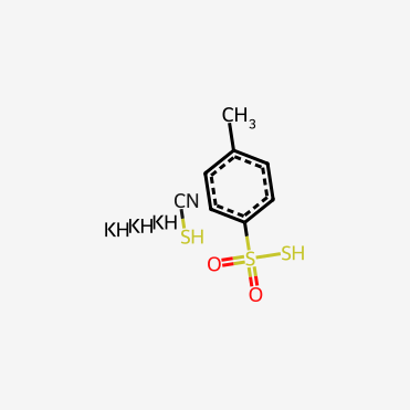 Cc1ccc(S(=O)(=O)S)cc1.N#CS.[KH].[KH].[KH]